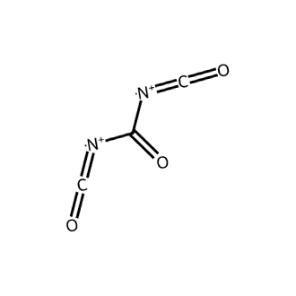 O=C=[N+]C(=O)[N+]=C=O